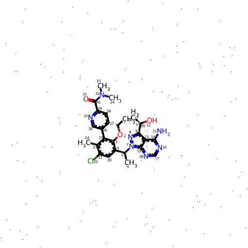 CCOc1c(C(C)n2nc([C@@H](C)O)c3c(N)ncnc32)cc(Cl)c(C)c1-c1ccc(C(=O)N(C)C)nc1